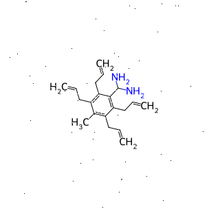 C=CCc1c(C)c(CC=C)c(CC=C)c(C(N)N)c1CC=C